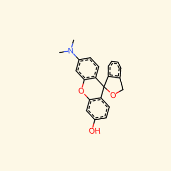 CN(C)c1ccc2c(c1)Oc1cc(O)ccc1C21OCc2ccccc21